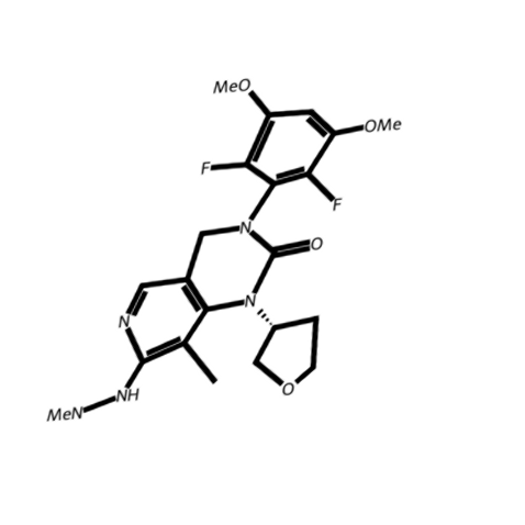 CNNc1ncc2c(c1C)N([C@@H]1CCOC1)C(=O)N(c1c(F)c(OC)cc(OC)c1F)C2